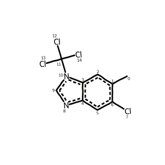 Cc1cc2c(cc1Cl)ncn2C(Cl)(Cl)Cl